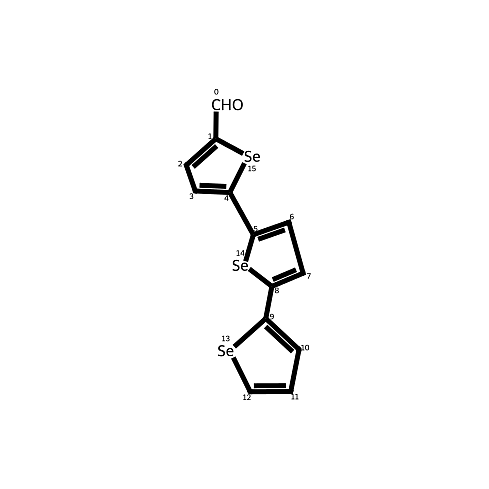 O=Cc1ccc(-c2ccc(-c3ccc[se]3)[se]2)[se]1